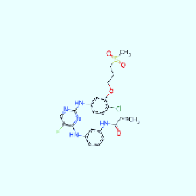 C=CC(=O)Nc1cccc(Nc2nc(Nc3ccc(Cl)c(OCCCS(C)(=O)=O)c3)ncc2F)c1